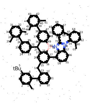 Cc1ccc(C(C)(C)C)cc1-c1ccccc1Cc1cc2c3c(c1)C(c1cccc(-c4c(C)cccc4C)c1)c1cc(-c4c(C)cccc4C)ccc1B3[n+]1c3c-2cccc3n2c3c(C)cccc3c3ccccc3c21